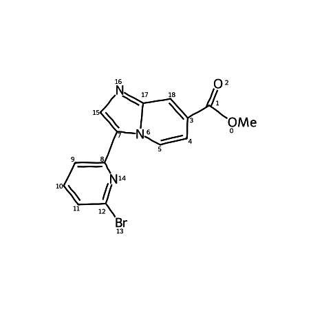 COC(=O)c1ccn2c(-c3cccc(Br)n3)cnc2c1